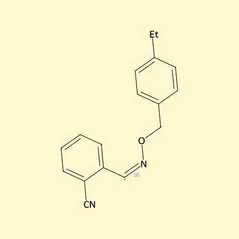 CCc1ccc(CO/N=[C]\c2ccccc2C#N)cc1